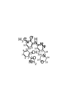 Cc1c(C(N)=O)cccc1-c1cc(Nc2ccc(CN3CCOCC3)nn2)c(=O)n(C)c1